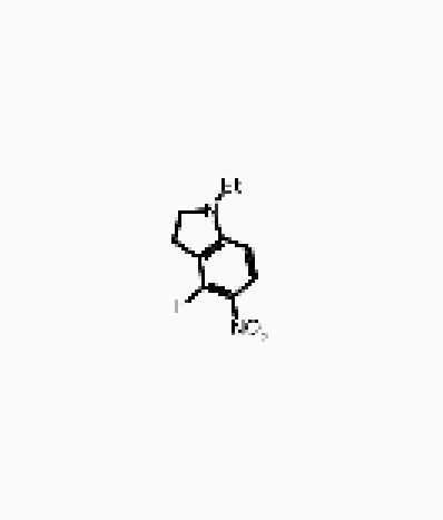 CCN1CCc2c1ccc([N+](=O)[O-])c2F